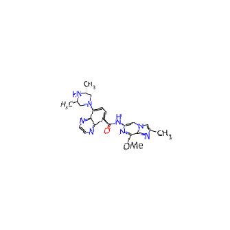 COc1nc(NC(=O)c2ccc(N3C[C@@H](C)N[C@H](C)C3)c3nccnc23)cn2cc(C)nc12